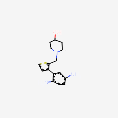 Nc1ccc(N)c(-c2ccsc2CN2CCC(O)CC2)c1